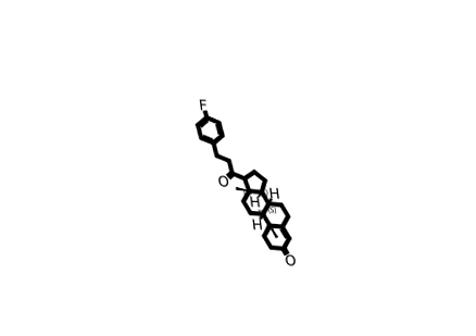 C[C@]12CCC(=O)C=C1CC[C@@H]1[C@H]2CC[C@]2(C)C(C(=O)CCc3ccc(F)cc3)CC[C@@H]12